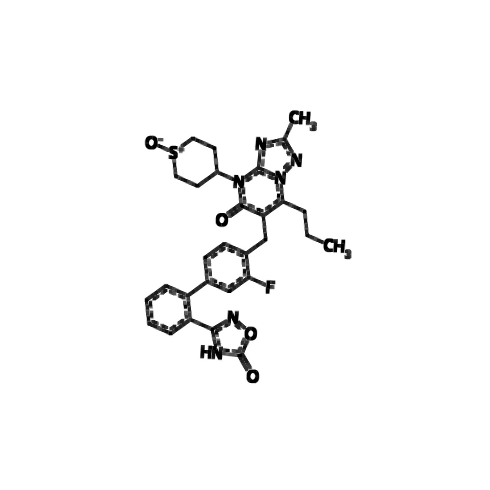 CCCc1c(Cc2ccc(-c3ccccc3-c3noc(=O)[nH]3)cc2F)c(=O)n(C2CC[S+]([O-])CC2)c2nc(C)nn12